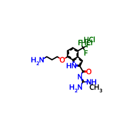 CNC(N)=NC(=O)c1cc2c(C(F)(F)F)ccc(OCCCN)c2[nH]1.Cl.Cl